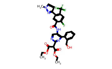 CCOC(=O)C(C(=O)OCC)c1ncc(NC(=O)c2cc(-c3ccn(C)n3)c(C(F)(F)F)cc2F)c(-c2ccccc2CO)n1